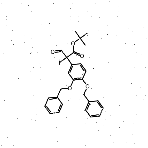 CC(C)(C)OC(=O)C(I)(C=O)c1ccc(OCc2ccccc2)c(OCc2ccccc2)c1